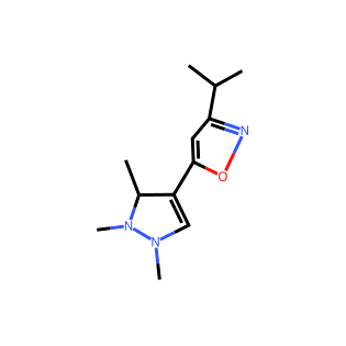 CC(C)c1cc(C2=CN(C)N(C)C2C)on1